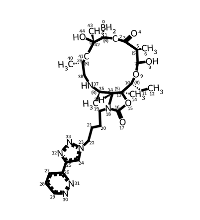 B[C@@H]1CC(=O)[C@@H](C)C(O)O[C@H](CC)[C@@]2(C)OC(=O)N(CCCCn3cc(-c4cccnn4)nn3)[C@@H]2[C@@H](C)NC[C@H](C)C[C@]1(C)O